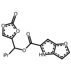 CC(C)C(OC(=O)c1cc2occc2[nH]1)c1coc(=O)o1